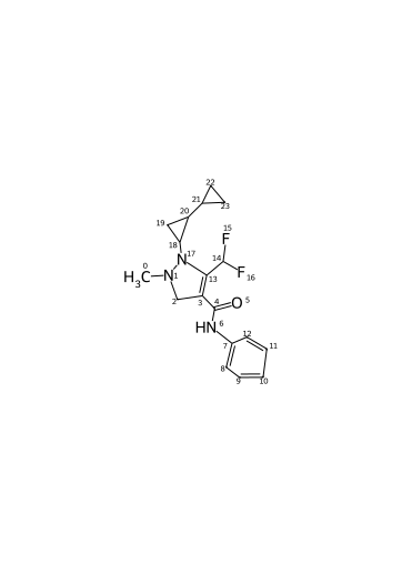 CN1CC(C(=O)Nc2ccccc2)=C(C(F)F)N1C1CC1C1CC1